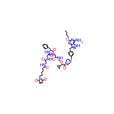 CCCCOc1nc(N)c2[nH]nc(Cc3ccc(CN4CCN(C(=O)[C@H](OCNC(=O)CNC(=O)[C@H](Cc5ccccc5)NC(=O)CNC(=O)CNC(=O)CCCCCN5C(=O)C=CC5=O)C5CC5)CC4)cc3)c2n1